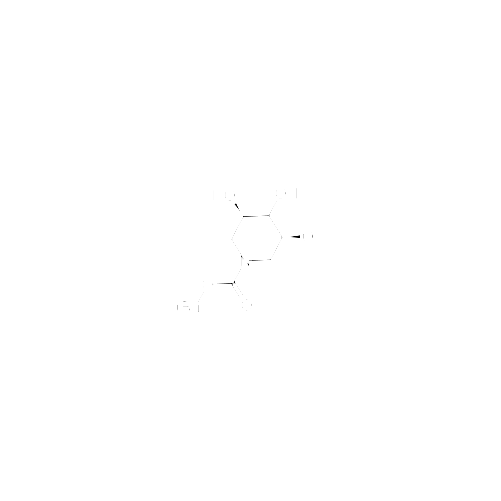 CC(C)(C)OC(=O)N1C[C@@H](O)C(O)[C@@H](O)C1